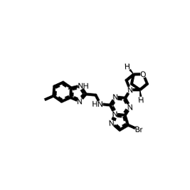 Cc1ccc2[nH]c(CNc3nc(N4C[C@H]5C[C@@H]4CO5)nc4c(Br)cnn34)nc2c1